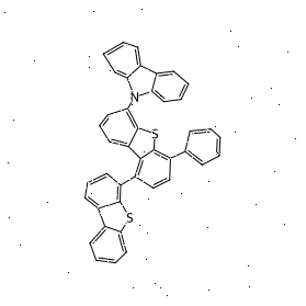 c1ccc(-c2ccc(-c3cccc4c3sc3ccccc34)c3c2sc2c(-n4c5ccccc5c5ccccc54)cccc23)cc1